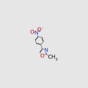 Cc1nc(-c2ccc([N+](=O)[O-])cc2)co1